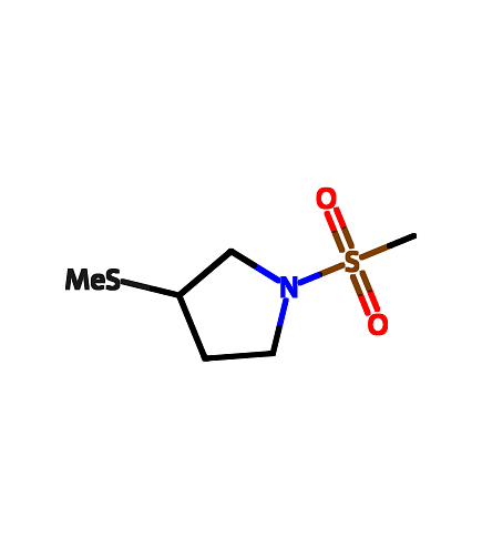 CSC1CCN(S(C)(=O)=O)C1